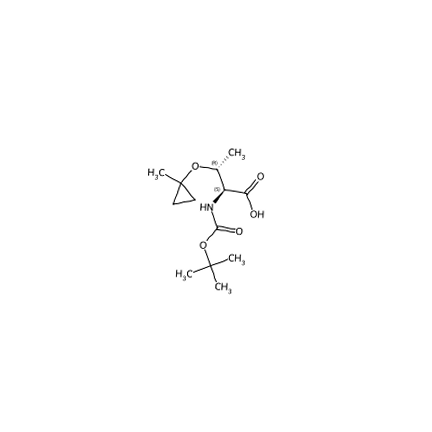 C[C@@H](OC1(C)CC1)[C@H](NC(=O)OC(C)(C)C)C(=O)O